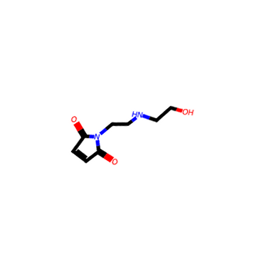 O=C1C=CC(=O)N1CCNCCO